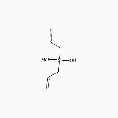 C=CC[Si](O)(O)CC=C